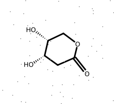 O=C1C[C@H](O)[C@H](O)CO1